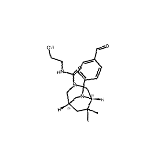 CC1(C)C[C@@H]2CN(C(=O)NCCO)C[C@H]1N(c1ccc(C=O)cc1)C2